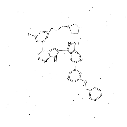 Fc1cc(OCCN2CCCC2)cc(-c2ccnc3[nH]c(-c4n[nH]c5cnc(-c6cncc(OCc7ccccc7)c6)cc45)cc23)c1